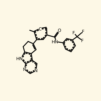 Cc1ccc(C(=O)Nc2cccc(C(F)(F)F)c2)cc1C1=Cc2c([nH]c3ncncc23)CC1